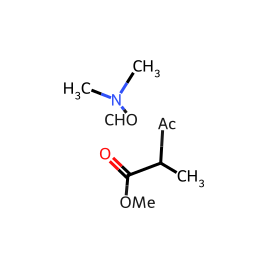 CN(C)C=O.COC(=O)C(C)C(C)=O